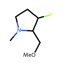 COCC1C(F)CCN1C